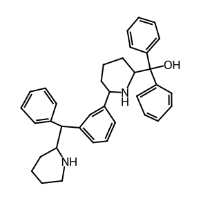 OC(c1ccccc1)(c1ccccc1)C1CCCC(c2cccc(C(c3ccccc3)C3CCCCN3)c2)N1